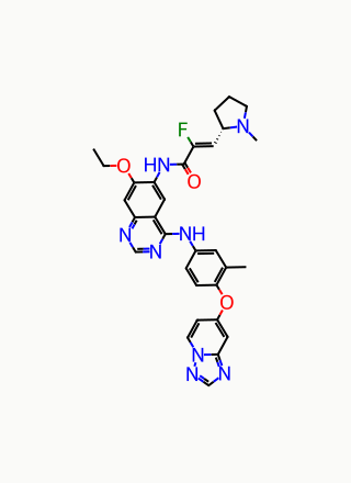 CCOc1cc2ncnc(Nc3ccc(Oc4ccn5ncnc5c4)c(C)c3)c2cc1NC(=O)/C(F)=C/[C@@H]1CCCN1C